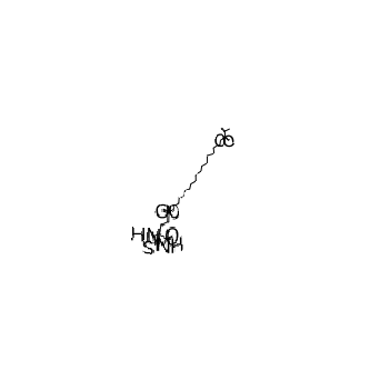 C=C(C)C(=O)OCCCCCCCCCCCCCCCCOC(=O)CCC1NC(=S)NC1=O